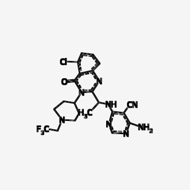 CC(Nc1ncnc(N)c1C#N)c1nc2cccc(Cl)c2c(=O)n1C1CCN(CC(F)(F)F)CC1